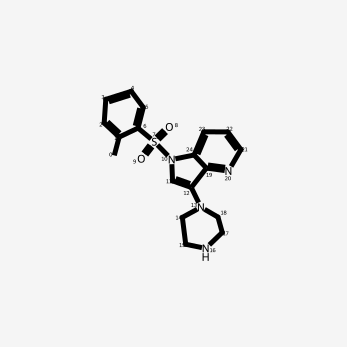 Cc1ccccc1S(=O)(=O)n1cc(N2CCNCC2)c2ncccc21